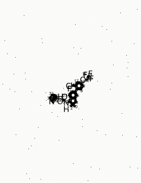 CC1(C)Cc2cc(-c3ccc(OCC(F)(F)F)cc3Cl)c(F)cc2[C@@H]1NC(=O)O[C@H]1CN2CCC1CC2